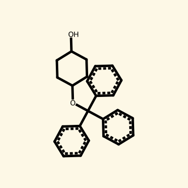 OC1CCC(OC(c2ccccc2)(c2ccccc2)c2ccccc2)CC1